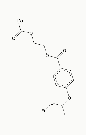 CCOC(C)Oc1ccc(C(=O)OCCOC(=O)C(C)CC)cc1